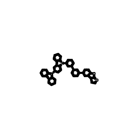 c1cc(-c2cccc(-n3c4ccccc4c4cc(-n5c6ccccc6c6ccccc65)ccc43)c2)cc(-c2ccc3oc4occc4c3c2)c1